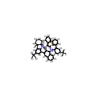 CC(C)(C)c1ccc(N2c3sc4ccccc4c3B3c4c(cc5ccccc5c42)-c2cc(C(C)(C)C)cc4c2N3C2(C)CCCCC42C)c(-c2ccccc2)c1